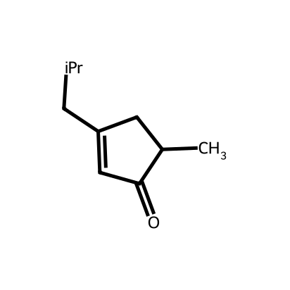 CC(C)CC1=CC(=O)C(C)C1